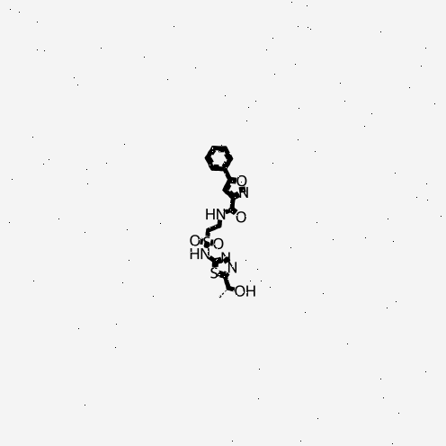 C[C@@H](O)c1nnc(NS(=O)(=O)CCNC(=O)c2cc(-c3ccccc3)on2)s1